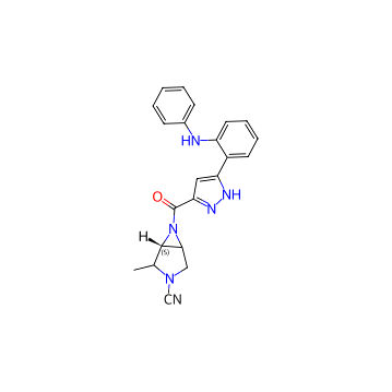 CC1[C@H]2C(CN1C#N)N2C(=O)c1cc(-c2ccccc2Nc2ccccc2)[nH]n1